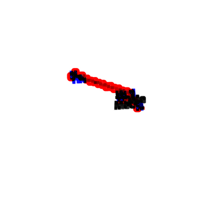 C=C1CC2C=Nc3cc(OCc4cc(/C=N\OCCOCCOCCOCCOCCOCCOCCOCCOCCOCCOCCOCCNC(=O)CCCCCN5C(=O)C=CC5=O)cc(COc5cc6c(cc5OC)C(=O)N5CC(=C)C[C@H]5C=N6)c4)c(OC)cc3C(=O)N2C1